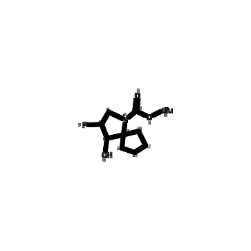 CC(C)(C)OC(=O)N1CC(F)C(O)C12CCCC2